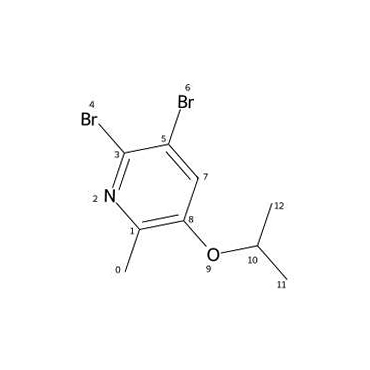 Cc1nc(Br)c(Br)cc1OC(C)C